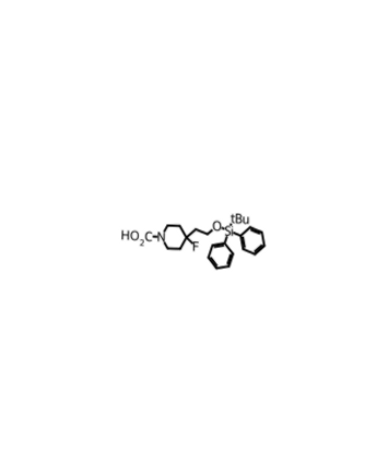 CC(C)(C)[Si](OCCC1(F)CCN(C(=O)O)CC1)(c1ccccc1)c1ccccc1